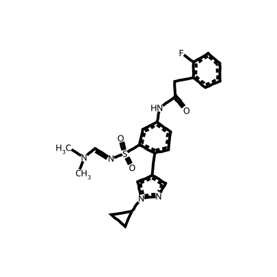 CN(C)/C=N/S(=O)(=O)c1cc(NC(=O)Cc2ccccc2F)ccc1-c1cnn(C2CC2)c1